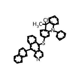 CC1(C)c2ccccc2N(c2ccccc2)c2cc(Sc3c4ccccc4c(-c4ccc5ccccc5c4)c4cnccc34)ccc21